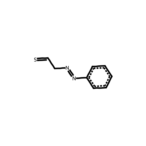 S=CCN=Nc1ccccc1